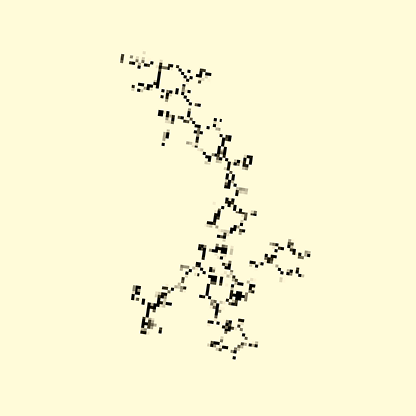 CCn1cc(C(=O)O)c(=O)c2cc(F)c(N3CCN(C(=O)OCc4ccc(NC[C@H](CCCNC(N)=O)NC[C@H](Cc5cccs5)NC(=O)OCc5ccccc5)cc4)CC3)cc21